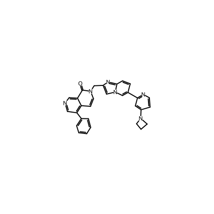 O=c1c2cncc(-c3ccccc3)c2ccn1Cc1cn2cc(-c3cc(N4CCC4)ccn3)ccc2n1